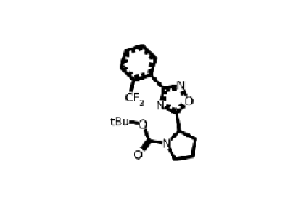 CC(C)(C)OC(=O)N1CCCC1c1nc(-c2ccccc2C(F)(F)F)no1